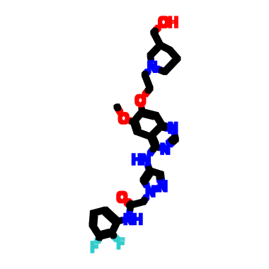 COc1cc2c(Nc3cnn(CC(=O)Nc4cccc(F)c4F)c3)ncnc2cc1OCCN1CCCC(CO)C1